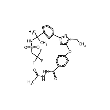 CCn1nc(-c2cccc(C(C)(C)NS(=O)(=O)CC(F)(F)F)c2)cc1Oc1ccc(C(=O)NNC(C)=O)cc1